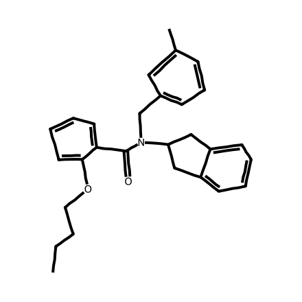 CCCCOc1ccccc1C(=O)N(Cc1cccc(C)c1)C1Cc2ccccc2C1